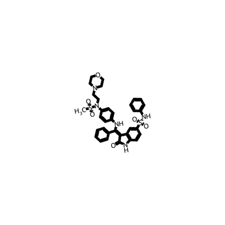 CS(=O)(=O)N(CCN1CCOCC1)c1ccc(NC(=C2C(=O)Nc3ccc(S(=O)(=O)Nc4ccccc4)cc32)c2ccccc2)cc1